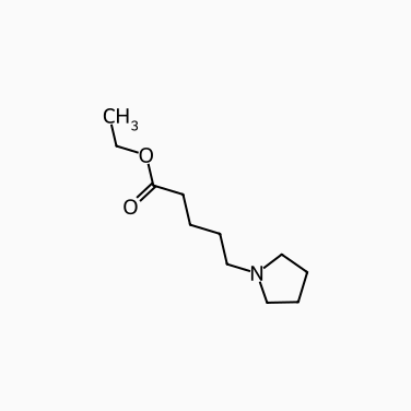 CCOC(=O)CCCCN1CCCC1